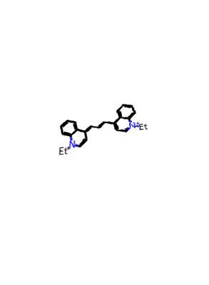 CCN1C=CC(=CC=Cc2cc[n+](CC)c3ccccc23)c2ccccc21